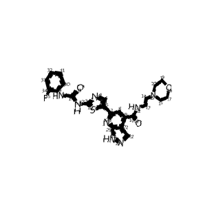 O=C(Nc1ncc(-c2cc(C(=O)NCCN3CCOCC3)c3cn[nH]c3n2)s1)Nc1ccccc1F